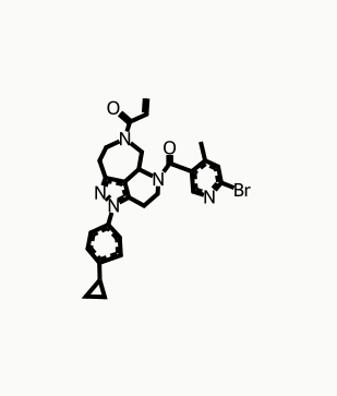 C=CC(=O)N1CCc2nn(-c3ccc(C4CC4)cc3)c3c2C(C1)N(C(=O)c1cnc(Br)cc1C)CC3